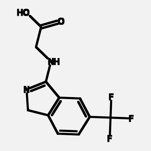 O=C(O)CNC1=NCc2ccc(C(F)(F)F)cc21